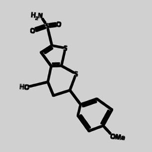 COc1ccc(C2CC(O)c3cc(S(N)(=O)=O)sc3S2)cc1